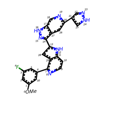 COc1cc(F)cc(-c2nccc3[nH]c(-c4n[nH]c5cnc(-c6cn[nH]c6)cc45)cc23)c1